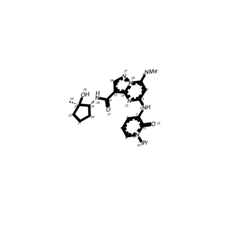 CNc1cc(Nc2cccn(C(C)C)c2=O)nc2c(C(=O)N[C@@H]3CCC[C@@]3(C)O)cnn12